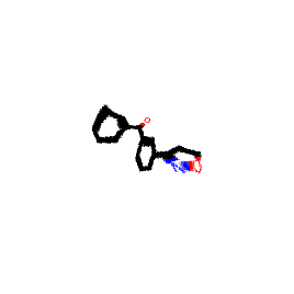 O=C(c1ccccc1)c1cccc(-c2ccon2)c1